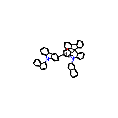 CC1(c2ccccc2N(c2cccc(-c3ccc4c(c3)c3ccccc3n4-c3cccc4ccccc34)c2)c2ccc3ccccc3c2)c2ccccc2-c2ccccc21